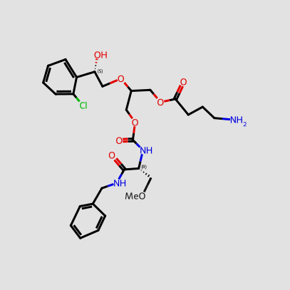 COC[C@@H](NC(=O)OCC(COC(=O)CCCN)OC[C@@H](O)c1ccccc1Cl)C(=O)NCc1ccccc1